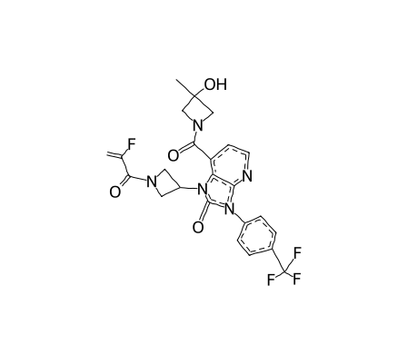 C=C(F)C(=O)N1CC(n2c(=O)n(-c3ccc(C(F)(F)F)cc3)c3nccc(C(=O)N4CC(C)(O)C4)c32)C1